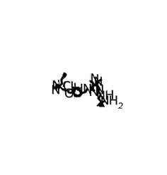 C#CCCC1(CCOc2ccc(CNc3nc(NCC4(N)CC4)nc4c3cnn4C)cc2Cl)N=N1